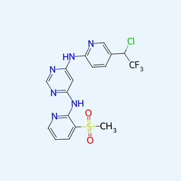 CS(=O)(=O)c1cccnc1Nc1cc(Nc2ccc(C(Cl)C(F)(F)F)cn2)ncn1